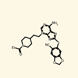 CCC(=O)N1CCC(CCn2cnc(N)c3nc(Sc4cc5c(cc4C#N)OCO5)nc2-3)CC1